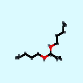 C[C](OCCCC(C)C)OCCCC(C)C